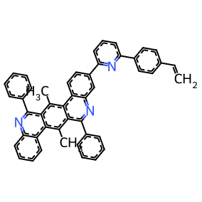 C=Cc1ccc(-c2cccc(-c3ccc4c(c3)nc(-c3ccccc3)c3c(C)c5c(c(-c6ccccc6)nc6ccccc65)c(C)c34)n2)cc1